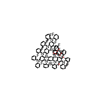 Fc1ccc2sc3c(c2c1)Oc1cc(N(c2c(F)cccc2F)c2c(F)cccc2F)cc2c1B3c1cc3c(cc1N2c1c(F)cccc1F)N(c1c(F)cccc1F)c1cc(N(c2ccccc2)c2ccccc2)cc2c1B3c1cc3c(cc1N2c1c(F)cccc1F)N(c1c(F)cccc1F)c1cc(N(c2c(F)cccc2F)c2c(F)cccc2F)cc2c1B3c1sc3ccc(F)cc3c1N2c1c(F)cccc1F